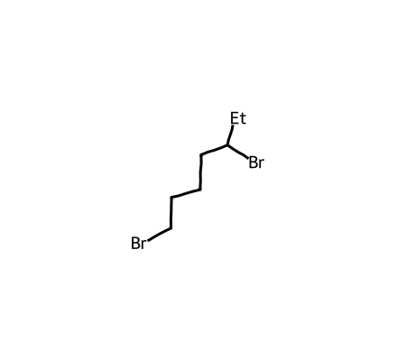 [CH2]CC(Br)CCCCBr